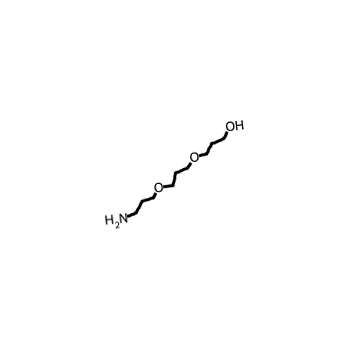 NCCCOCCCOCCCO